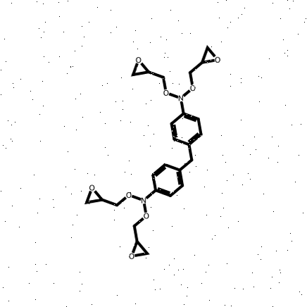 c1cc(N(OCC2CO2)OCC2CO2)ccc1Cc1ccc(N(OCC2CO2)OCC2CO2)cc1